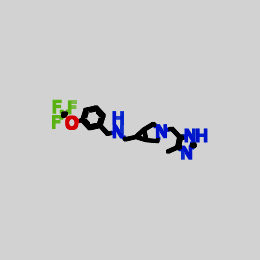 Cc1nc[nH]c1CN1CC2C(CNCc3cccc(OC(F)(F)F)c3)C2C1